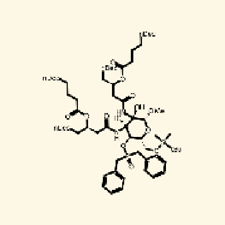 CCCCCCCCCCCCCC(=O)O[C@H](CCCCCCCCCCC)CC(=O)N[C@]1(O)[C@H](OC)O[C@H](CO[Si](C)(C)C(C)(C)C)[C@@H](OP(=O)(Cc2ccccc2)Cc2ccccc2)[C@@]1(O)NC(=O)C[C@@H](CCCCCCCCCCC)OC(=O)CCCCCCCCCCCCC